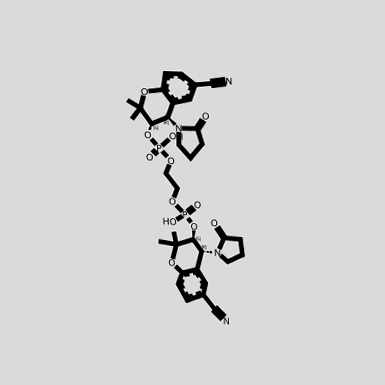 CC1(C)Oc2ccc(C#N)cc2[C@@H](N2CCCC2=O)[C@@H]1OP(=O)(O)OCCOP(=O)(O)O[C@H]1[C@H](N2CCCC2=O)c2cc(C#N)ccc2OC1(C)C